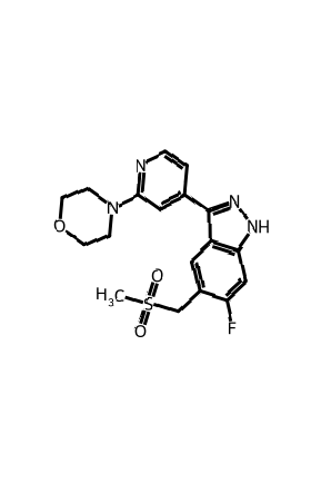 CS(=O)(=O)Cc1cc2c(-c3ccnc(N4CCOCC4)c3)n[nH]c2cc1F